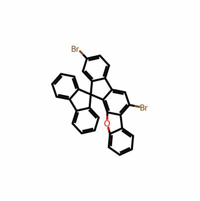 Brc1ccc2c(c1)C1(c3ccccc3-c3ccccc31)c1c-2cc(Br)c2c1oc1ccccc12